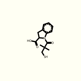 CC(C)(CS)C(=O)N1c2ccccc2CC1C(=O)O